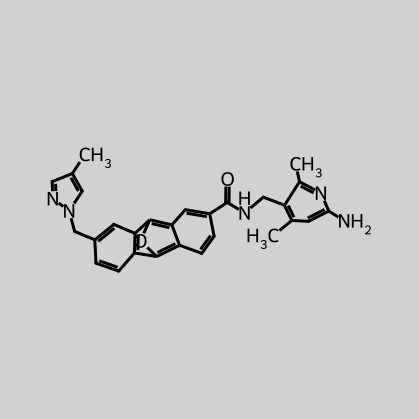 Cc1cnn(Cc2ccc3c(c2)c2oc3c3ccc(C(=O)NCc4c(C)cc(N)nc4C)cc32)c1